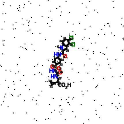 Cn1c(C(=O)Nc2ccc(S(=O)(=O)NC(=O)NCC(C(=O)O)C3CC3)cc2)cc2c(Cl)c(Cl)ccc21